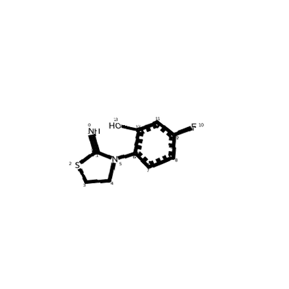 N=C1SCCN1c1ccc(F)cc1O